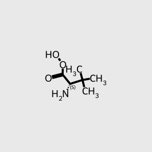 CC(C)(C)[C@H](N)C(=O)OO